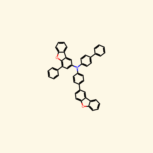 c1ccc(-c2ccc(N(c3ccc(-c4ccc5oc6ccccc6c5c4)cc3)c3cc(-c4ccccc4)c4oc5ccccc5c4c3)cc2)cc1